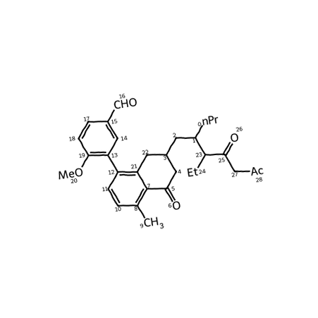 CCCC(CC1CC(=O)c2c(C)ccc(-c3cc(C=O)ccc3OC)c2C1)C(CC)C(=O)CC(C)=O